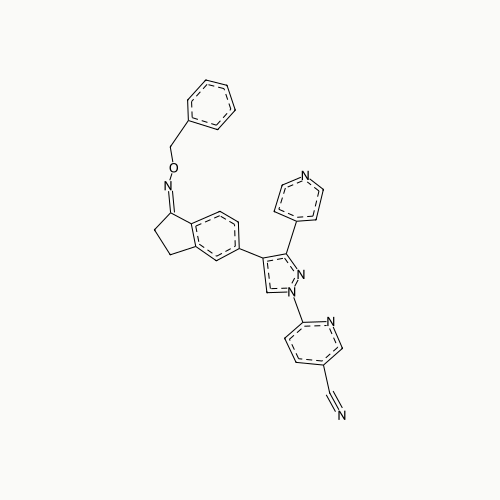 N#Cc1ccc(-n2cc(-c3ccc4c(c3)CC/C4=N/OCc3ccccc3)c(-c3ccncc3)n2)nc1